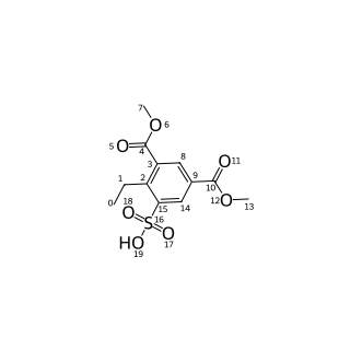 CCc1c(C(=O)OC)cc(C(=O)OC)cc1S(=O)(=O)O